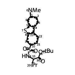 CNc1ccc2c(c1)sc1cc(S(=O)(=O)NC(C(=O)OC(C)(C)C)C(C)C)ccc12